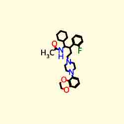 CC(=O)NC(C1CCCCC1)C(CCN1CCN(c2cccc3c2OCCO3)CC1)c1ccccc1F